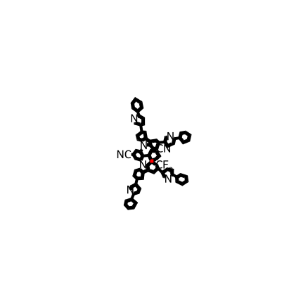 N#Cc1cc(-c2c(-n3c4ccc(-c5ccc(-c6ccccc6)nc5)cc4c4cc(-c5ccc(-c6ccccc6)nc5)ccc43)cc(C#N)cc2-n2c3ccc(-c4ccc(-c5ccccc5)nc4)cc3c3cc(-c4ccc(-c5ccccc5)nc4)ccc32)cc(C(F)(F)F)c1